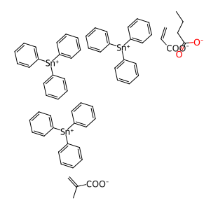 C=C(C)C(=O)[O-].C=CC(=O)[O-].CCCC(=O)[O-].c1cc[c]([Sn+]([c]2ccccc2)[c]2ccccc2)cc1.c1cc[c]([Sn+]([c]2ccccc2)[c]2ccccc2)cc1.c1cc[c]([Sn+]([c]2ccccc2)[c]2ccccc2)cc1